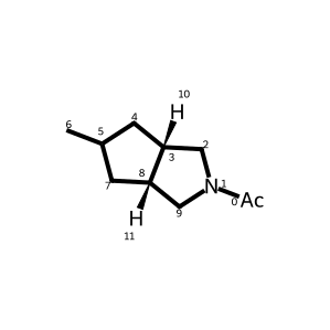 CC(=O)N1C[C@H]2CC(C)C[C@H]2C1